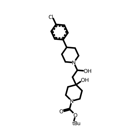 CC(C)(C)OC(=O)N1CCC(O)(CC(O)N2CCC(c3ccc(Cl)cc3)CC2)CC1